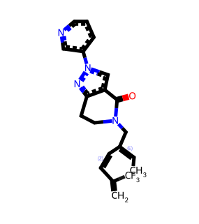 C=C(/C=C\C(=C/C)CN1CCc2nn(-c3cccnc3)cc2C1=O)C(F)(F)F